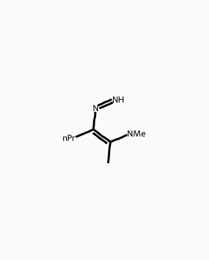 CCCC(N=N)=C(C)NC